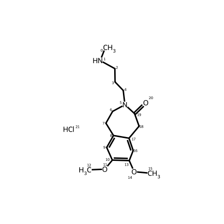 CNCCCN1CCc2cc(OC)c(OC)cc2CC1=O.Cl